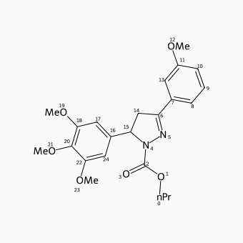 CCCOC(=O)N1N=C(c2cccc(OC)c2)CC1c1cc(OC)c(OC)c(OC)c1